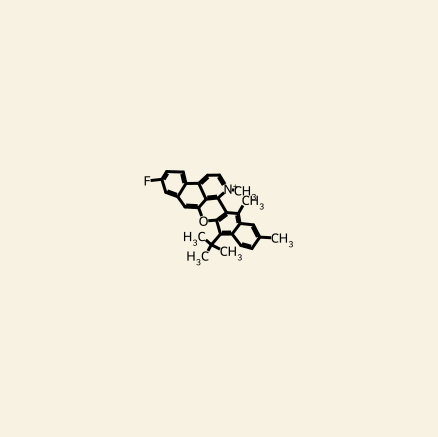 Cc1ccc2c(C(C)(C)C)c3c(c(C)c2c1)-c1c2c(cc4cc(F)ccc4c2cc[n+]1C)O3